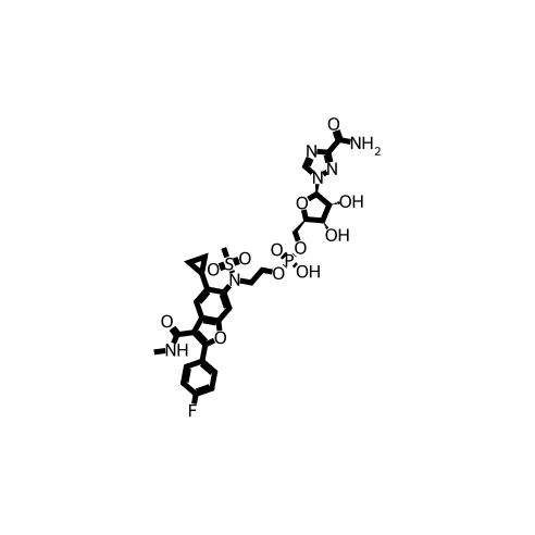 CNC(=O)c1c(-c2ccc(F)cc2)oc2cc(N(CCOP(=O)(O)OC[C@H]3O[C@@H](n4cnc(C(N)=O)n4)[C@H](O)[C@@H]3O)S(C)(=O)=O)c(C3CC3)cc12